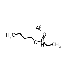 CCCCO[PH](=O)CC.[Al]